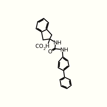 O=C(Nc1ccc(-c2ccccc2)cc1)NC1(C(=O)O)Cc2ccccc2C1